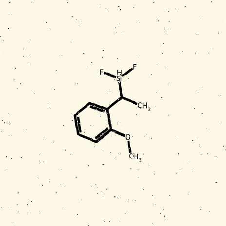 COc1ccccc1C(C)[SiH](F)F